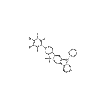 CC1(C)c2cc(-c3c(F)c(F)c(Br)c(F)c3F)ccc2-c2cc3c(cc21)c1ccccc1n3-c1ccccc1